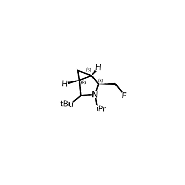 CC(C)N1C(C(C)(C)C)[C@@H]2C[C@@H]2[C@H]1CF